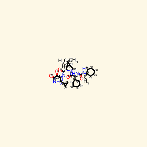 CC1(NC(=O)N[C@H](C(=O)N2CC3[C@@H]([C@H]2C(=O)NC(CC2CC2)C(=O)C(N)=O)C3(C)C)C2CCCCC2)CCCCC1